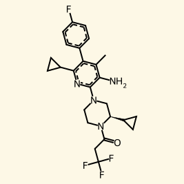 Cc1c(N)c(N2CCN(C(=O)CC(F)(F)F)[C@H](C3CC3)C2)nc(C2CC2)c1-c1ccc(F)cc1